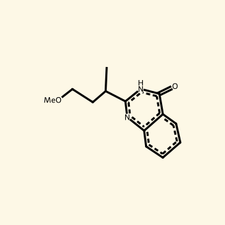 COCCC(C)c1nc2ccccc2c(=O)[nH]1